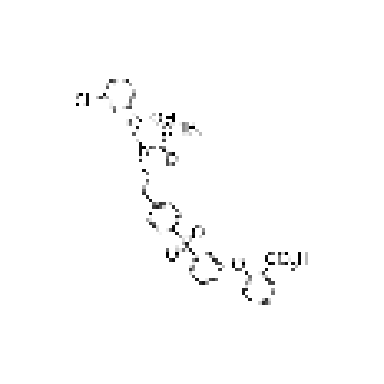 CC(C)(C)OC(=O)N(CCCc1ccc(S(=O)(=O)c2cccc(Oc3ccccc3C(=O)O)c2)cc1)C[C@@H](O)c1cccc(Cl)c1